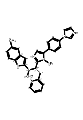 CCCn1c(-c2ccc(-n3ccnc3)cc2)cnc1[C@H](Cc1ccccn1)N(C=O)c1cc2cc(OC)ccc2o1